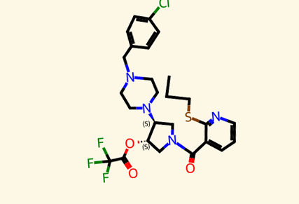 CCCSc1ncccc1C(=O)N1C[C@H](OC(=O)C(F)(F)F)[C@@H](N2CCN(Cc3ccc(Cl)cc3)CC2)C1